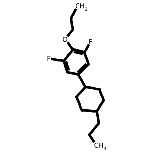 CCCOc1c(F)cc(C2CCC(CCC)CC2)cc1F